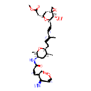 COC(=O)C[C@@H]1C[C@@]2(CO2)[C@H](O)[C@@H](/C=C/C(C)=C/C[C@@H]2O[C@H](C)[C@H](NC(=O)/C=C\C(C)C(=N)/C=C\O)C[C@@H]2C)O1